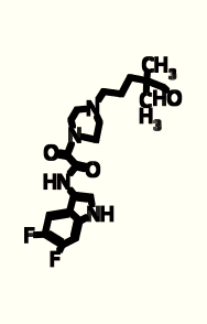 CC(C)(CO)CCCN1CCN(C(=O)C(=O)Nc2c[nH]c3cc(F)c(F)cc23)CC1